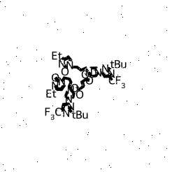 CCc1ccn(CCCC[N+]2(OC(=O)/C=C/C(=O)O[N+]3(CCCCn4ccc(CC)nc4=O)CCN(c4cc(C(F)(F)F)nc(C(C)(C)C)n4)CC3)CCN(c3cc(C(F)(F)F)nc(C(C)(C)C)n3)CC2)c(=O)n1